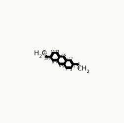 C=Cc1ccc2cc3cc(C=C)ccc3cc2c1